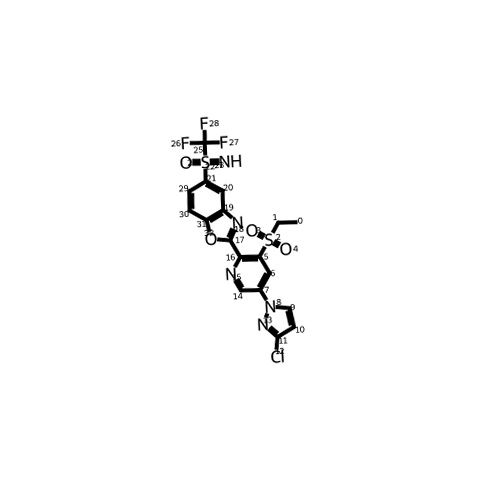 CCS(=O)(=O)c1cc(-n2ccc(Cl)n2)cnc1-c1nc2cc(S(=N)(=O)C(F)(F)F)ccc2o1